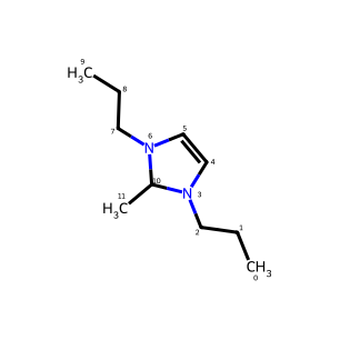 CCCN1C=CN(CCC)C1C